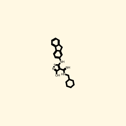 N=C(NCC1CCCCC1)c1c(O)nsc1Nc1ccc2c(c1)Cc1ccccc1-2